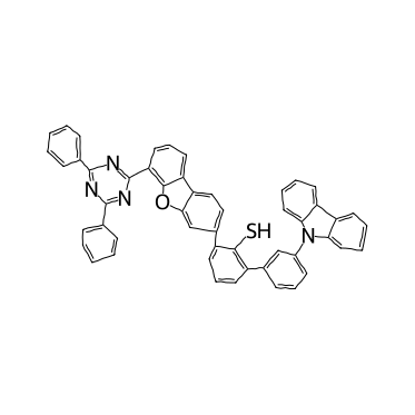 Sc1c(-c2cccc(-n3c4ccccc4c4ccccc43)c2)cccc1-c1ccc2c(c1)oc1c(-c3nc(-c4ccccc4)nc(-c4ccccc4)n3)cccc12